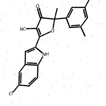 Cc1cc(C)cc(C2(C)OC(c3cc4cc(Cl)ccc4[nH]3)=C(C#N)C2=O)c1